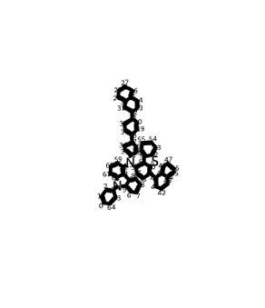 c1ccc(-n2c3ccccc3c3c(N(c4ccc(-c5ccc(-c6ccc7ccccc7c6)cc5)cc4)c4ccc(-c5cccc6ccccc56)c5sc6ccccc6c45)cccc32)cc1